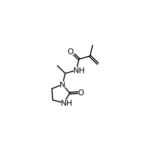 C=C(C)C(=O)NC(C)N1CCNC1=O